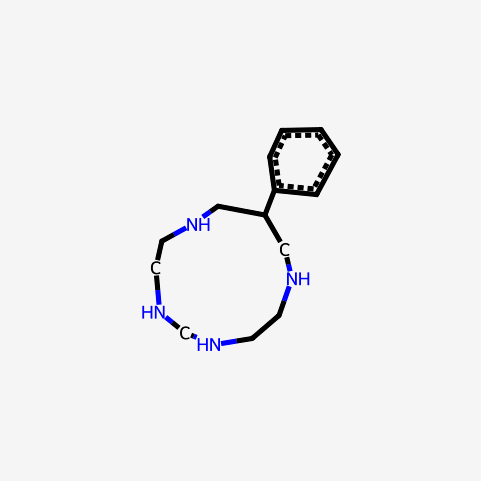 c1ccc(C2CNCCNCNCCNC2)cc1